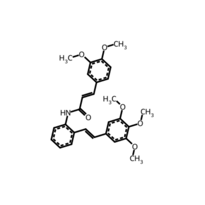 COc1ccc(/C=C/C(=O)Nc2ccccc2/C=C/c2cc(OC)c(OC)c(OC)c2)cc1OC